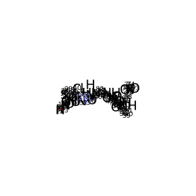 C=C1/C=C(/C(=O)N2C[C@@H](CCl)c3c2cc(OC(=O)N2CCN(C)CC2)c2scc(C)c32)NC/C=C\C(NC(=O)c2cc3cc(NC(=O)CN4C(=O)C(NC(=O)[C@H](Cc5ccccc5)NC(=O)CCCCCN5C(=O)C=CC5=O)CC4C)ccc3[nH]2)=C/1